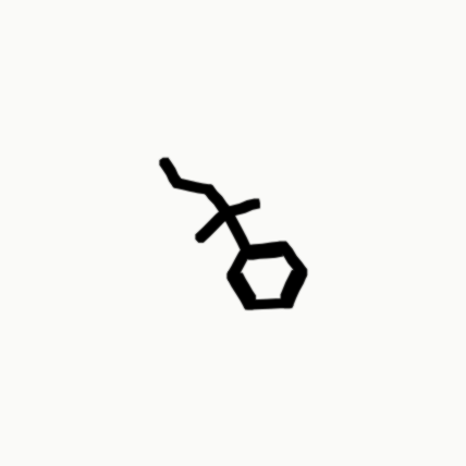 CCCC(C)(C)c1ccccc1